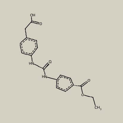 CCOC(=O)c1ccc(NC(=O)Nc2ccc(CC(=O)O)cc2)cc1